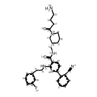 N#Cc1ccccc1-c1ccc(C(=O)NC[C@H]2CCCN(C(=O)CCCN)C2)c(NCCc2cccc(F)c2)n1